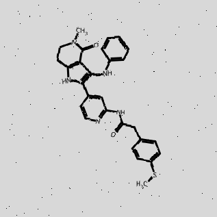 CSc1ccc(CC(=O)Nc2cc(-c3[nH]c4c(c3Nc3ccccc3)C(=O)N(C)CC4)ccn2)cc1